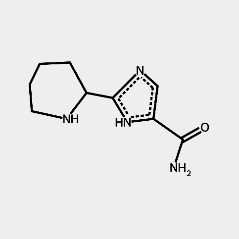 NC(=O)c1cnc(C2CCCCN2)[nH]1